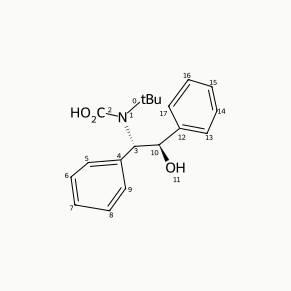 CC(C)(C)N(C(=O)O)[C@@H](c1ccccc1)[C@H](O)c1ccccc1